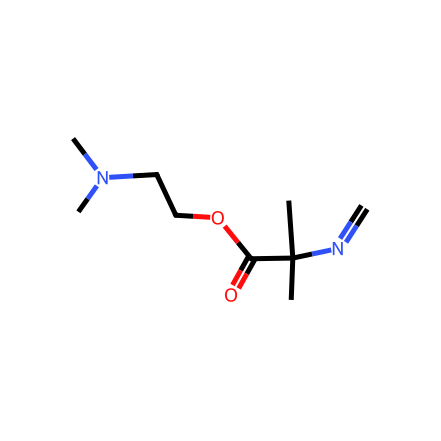 C=NC(C)(C)C(=O)OCCN(C)C